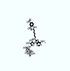 Nc1ncnc2c1nc(NCCCCCCNc1ccc([N+](=O)[O-])cc1[N+](=O)[O-])n2[C@@H]1O[C@H](COP(=O)(O)OP(=O)(O)OP(=O)(O)O)C(O)C1O